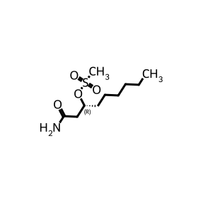 CCCCCC[C@H](CC(N)=O)OS(C)(=O)=O